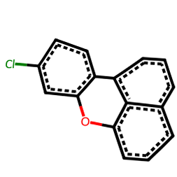 Clc1ccc2c(c1)Oc1cccc3cccc-2c13